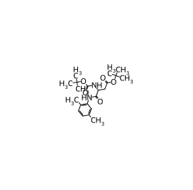 Cc1ccc(C)c(NC(=O)C(CC(=O)OC(C)(C)C)NC(=O)OC(C)(C)C)c1